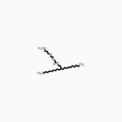 CCCCCCCCCCC(CCCCCCCCCC)CCOC(=O)COCCOCCCOC